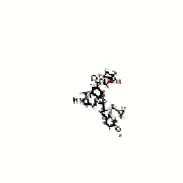 COc1ccc2cc(-c3nc4cc(C(=O)N5CC6CC7CC5[C@H]76)cc(OC)c4n3CC3CNC3)n(CC3CC3)c2n1